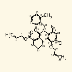 C=CCOC(=O)C1=C(C(=O)N(Cc2cnccc2C)c2cc(OCC=C)c(Cl)cc2F)CCCC1